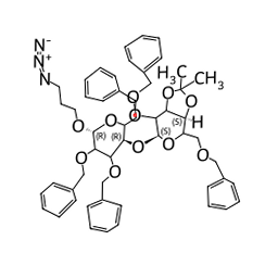 CC1(C)OC2C(OCc3ccccc3)[C@H](O[C@@H]3C(COCc4ccccc4)O[C@@H](OCCCN=[N+]=[N-])C(OCc4ccccc4)C3OCc3ccccc3)OC(COCc3ccccc3)[C@@H]2O1